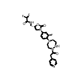 O=C(NC[C@H]1CN(c2ccc(N3CCNN(C(=O)Cc4ccncc4)CC3)c(F)c2)C(=O)O1)C(F)F